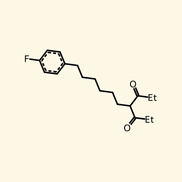 CCC(=O)C(CCCCCCc1ccc(F)cc1)C(=O)CC